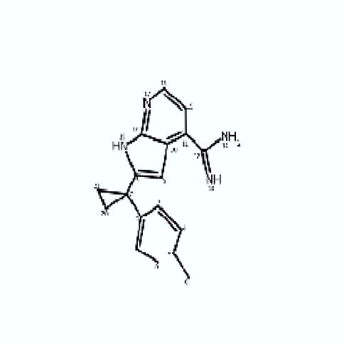 C/C=C(\C=C/CC)C1(c2cc3c(C(=N)N)ccnc3[nH]2)CC1